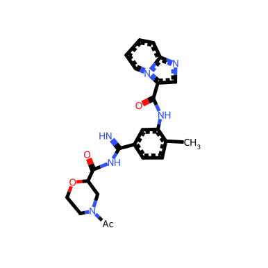 CC(=O)N1CCOC(C(=O)NC(=N)c2ccc(C)c(NC(=O)c3cnc4ccccn34)c2)C1